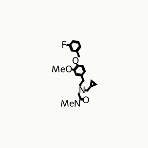 CNC(=O)CN(CCc1ccc(OCc2cccc(F)c2)c(OC)c1)CC1CC1